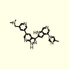 Cc1cn(-c2cncc3[nH]c(-c4n[nH]c5ncc(-c6cncc(CN(C)C)c6)cc45)cc23)cn1